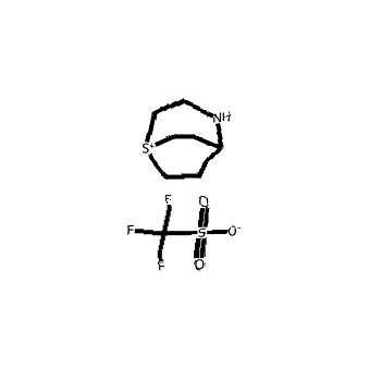 C1C[S+]2CCC(CC2)N1.O=S(=O)([O-])C(F)(F)F